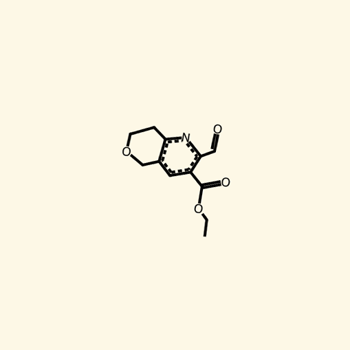 CCOC(=O)c1cc2c(nc1C=O)CCOC2